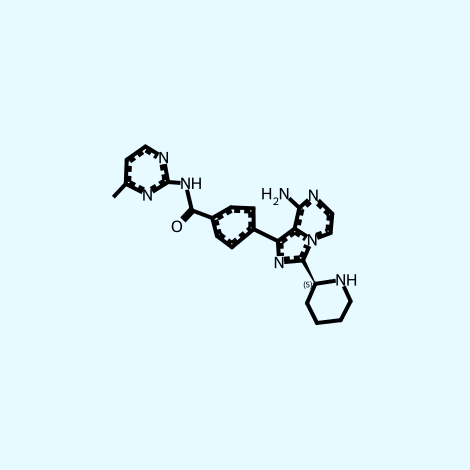 Cc1ccnc(NC(=O)c2ccc(-c3nc([C@@H]4CCCCN4)n4ccnc(N)c34)cc2)n1